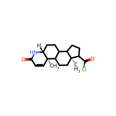 C[C@]12CCC3C(CC[C@H]4NC(=O)C=C[C@]34C)C1CCC2C(=O)Cl